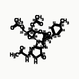 CC(=O)Nc1nc2c(nc(/N=N/c3ccc(C)cc3)n2[C@@H]2O[C@H](COC(C)=O)[C@H](OC(C)=O)C2OC(C)=O)c(=O)[nH]1